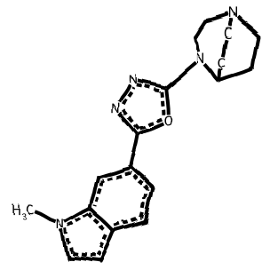 Cn1ccc2ccc(-c3nnc(N4CCN5CCC4CC5)o3)cc21